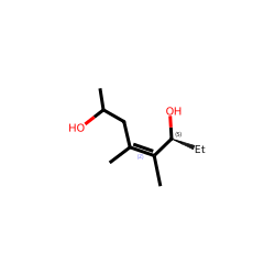 CC[C@H](O)/C(C)=C(/C)CC(C)O